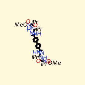 COO/C=N/[C@@H](C(=O)N[C@H](c1ncc(-c2ccc(-c3ccc(-c4cnc([C@@H](NC(=O)[C@H](NC(=O)OC)C(C)C)C(C)C)[nH]4)cc3)cc2)[nH]1)C(C)C)C(C)C